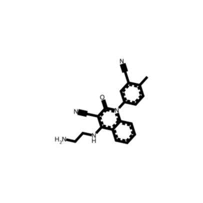 Cc1ccc(-n2c(=O)c(C#N)c(NCCN)c3ccccc32)cc1C#N